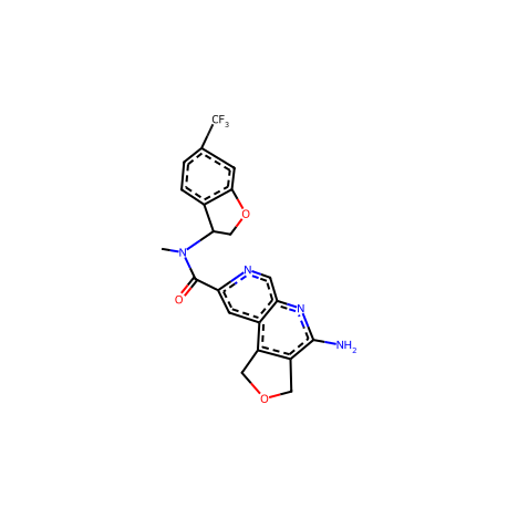 CN(C(=O)c1cc2c3c(c(N)nc2cn1)COC3)C1COc2cc(C(F)(F)F)ccc21